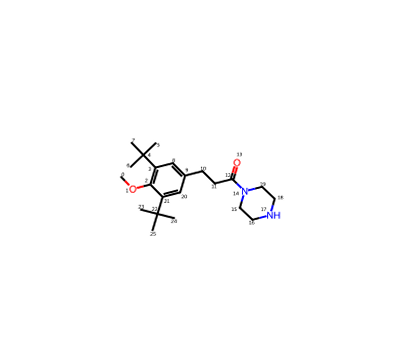 COc1c(C(C)(C)C)cc(CCC(=O)N2CCNCC2)cc1C(C)(C)C